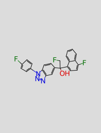 OC(CF)(c1ccc2c(c1)nnn2-c1ccc(F)cc1)c1ccc(F)c2ccccc12